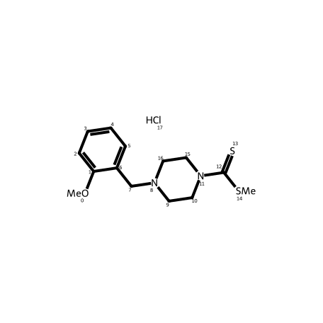 COc1ccccc1CN1CCN(C(=S)SC)CC1.Cl